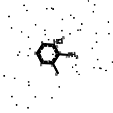 Cc1ccccc1P.Cl